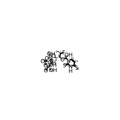 C[C@@H](F)[C@@H](COP(=O)(O)OP(=O)(O)OP(=O)(O)O)O[C@H](O)n1ccc(=S)[nH]c1=S